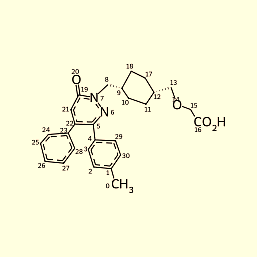 Cc1ccc(-c2nn(C[C@H]3CC[C@@H](COCC(=O)O)CC3)c(=O)cc2-c2ccccc2)cc1